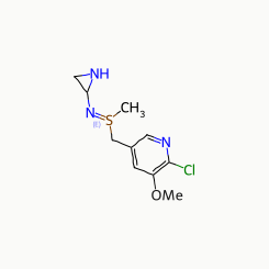 COc1cc(C/S(C)=N/C2CN2)cnc1Cl